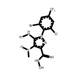 CCNc1c([S+](C)[O-])c(C(=N)NO)nn1-c1c(Cl)cc(C(F)(F)F)cc1Br